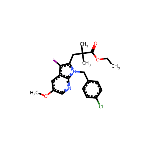 CCOC(=O)C(C)(C)Cc1c(I)c2cc(OC)cnc2n1Cc1ccc(Cl)cc1